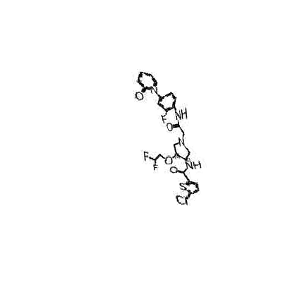 O=C(CN1C[C@H](NC(=O)c2ccc(Cl)s2)[C@@H](OCC(F)F)C1)Nc1ccc(-n2ccccc2=O)cc1F